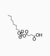 CCCCCCCCOS(=O)(=O)OC(=O)CCC(=O)O